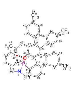 CC(C)N(C(C)C)[P@@](=O)(c1ccccc1)c1ccccc1-c1c(-c2ccc(C(F)(F)F)cc2)c(-c2ccc(C(F)(F)F)cc2)c(-c2ccc(C(F)(F)F)cc2)c2cc(C(F)(F)F)ccc12